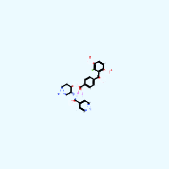 COc1ccc(OC)c(C(=O)c2ccc(C(=O)OC3CCN(C)C[C@H]3NC(=O)c3ccncc3)cc2)c1F